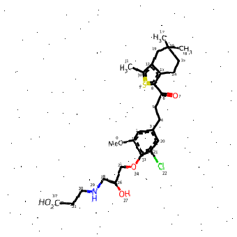 COc1cc(CCC(=O)c2sc(C)c3c2CCC(C)(C)C3)cc(Cl)c1OCC(O)CNCCC(=O)O